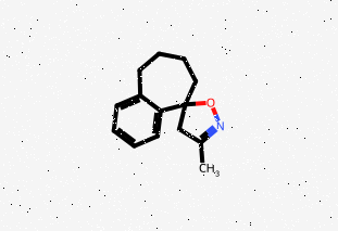 CC1=NOC2(CCCCc3ccccc32)C1